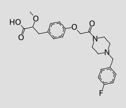 COC(Cc1ccc(OCC(=O)N2CCN(Cc3ccc(F)cc3)CC2)cc1)C(=O)O